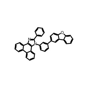 c1ccc(-c2nc3c4ccccc4c4ccccc4c3n2-c2cccc(-c3ccc4oc5ccccc5c4c3)c2)cc1